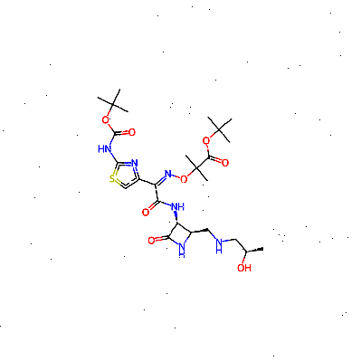 C[C@@H](O)CNC[C@H]1NC(=O)[C@H]1NC(=O)C(=NOC(C)(C)C(=O)OC(C)(C)C)c1csc(NC(=O)OC(C)(C)C)n1